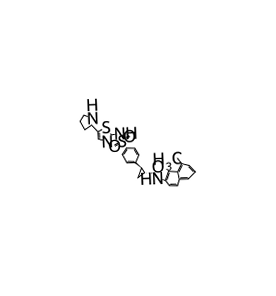 Cc1cccc2ccc(NC(=O)[C@@H]3C[C@H]3c3ccc(S(=O)(=O)Nc4ncc(C5CCCN5)s4)cc3)cc12